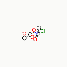 COC(=O)[C@H]1CC[C@H](c2ccccc2Cl)N1C(=O)c1ccc(-c2ccccc2OC)cc1